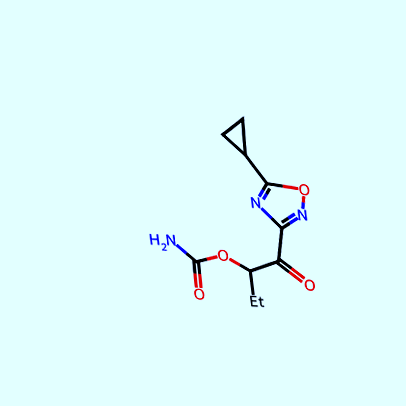 CCC(OC(N)=O)C(=O)c1noc(C2CC2)n1